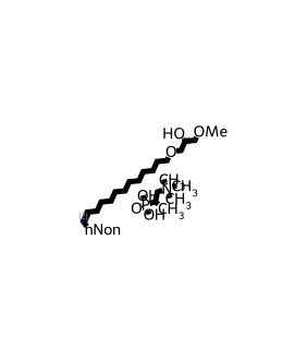 CC(C[N+](C)(C)C)P(=O)(O)O.CCCCCCCCC/C=C\CCCCCCCCCCCOC[C@@H](O)COC